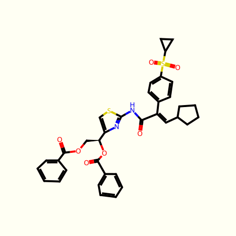 O=C(Nc1nc([C@H](COC(=O)c2ccccc2)OC(=O)c2ccccc2)cs1)/C(=C/C1CCCC1)c1ccc(S(=O)(=O)C2CC2)cc1